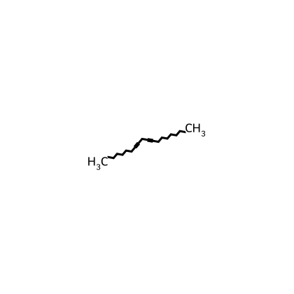 CCCCCCCC#CCC#CCCCCCCCC